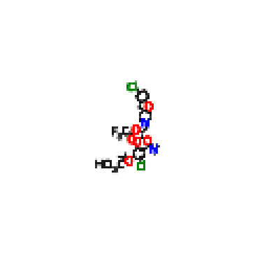 CN(C)C(=O)c1cc(Cl)c(OC(C)(C)C(=O)O)cc1OC[C@H](CN1CCC2(CC1)Cc1cc(Cl)ccc1O2)OC(=O)C(F)(F)F